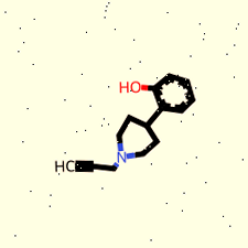 C#CCN1CCC(c2ccccc2O)CC1